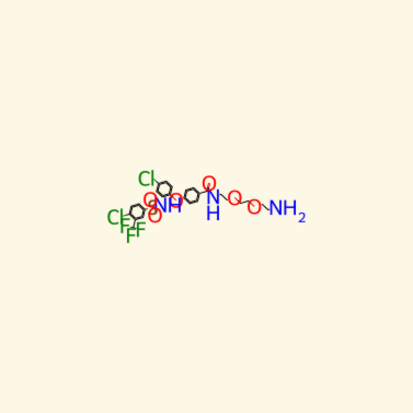 NCCOCCOCCNC(=O)c1ccc(Oc2ccc(Cl)cc2NS(=O)(=O)c2ccc(Cl)c(C(F)(F)F)c2)cc1